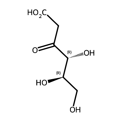 O=C(O)CC(=O)[C@H](O)[C@H](O)CO